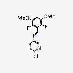 COc1cc(OC)c(F)c(/C=C/c2ccc(Cl)nc2)c1F